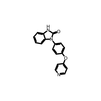 O=c1[nH]c2ccccc2n1-c1ccc(Oc2ccncc2)cc1